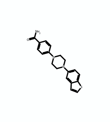 NC(=O)c1ccc(N2CCN(c3ccc4sccc4c3)CC2)cc1